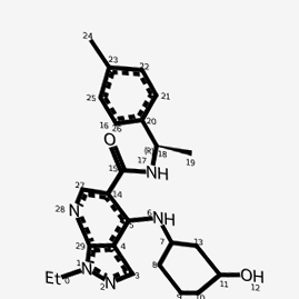 CCn1ncc2c(NC3CCCC(O)C3)c(C(=O)N[C@H](C)c3ccc(C)cc3)cnc21